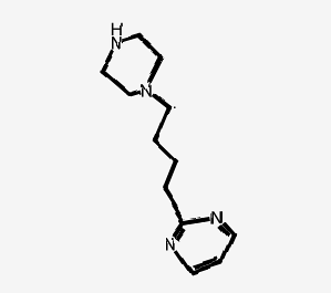 [CH](CCCc1ncccn1)N1CCNCC1